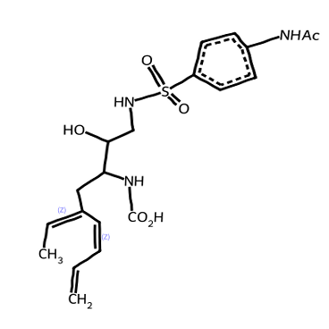 C=C/C=C\C(=C/C)CC(NC(=O)O)C(O)CNS(=O)(=O)c1ccc(NC(C)=O)cc1